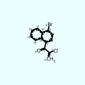 C=C(Cl)C(=O)c1ccc(Br)c2ccccc12